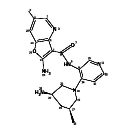 Cc1cnc2c(C(=O)Nc3cnccc3N3C[C@@H](C)C[C@@H](N)C3)c(N)oc2c1